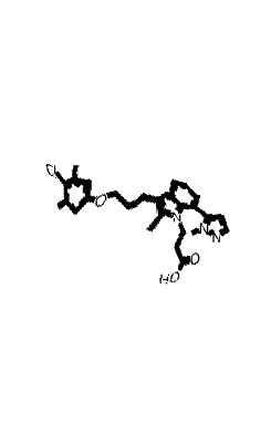 Cc1cc(OCCCc2c(C)n(CCC(=O)O)c3c(-c4ccnn4C)cccc23)cc(C)c1Cl